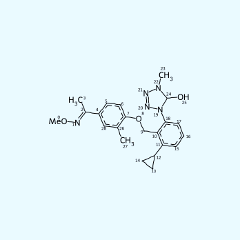 CON=C(C)c1ccc(OCc2c(C3CC3)cccc2N2N=NN(C)C2O)c(C)c1